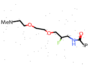 CNCCOCCOCC(F)CNC(=O)C(C)C